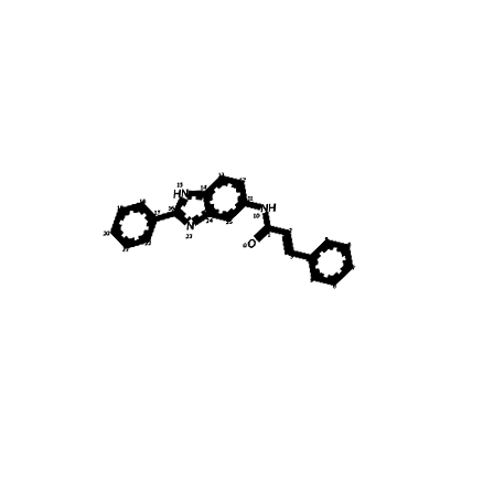 O=C(C=Cc1ccccc1)Nc1ccc2[nH]c(-c3ccccc3)nc2c1